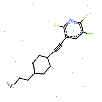 CCCC1CCC(C#Cc2cc(F)c(F)nc2F)CC1